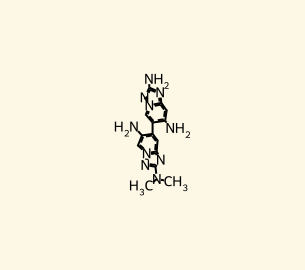 CN(C)c1nc2cc(-c3cn4nc(N)nc4cc3N)c(N)cn2n1